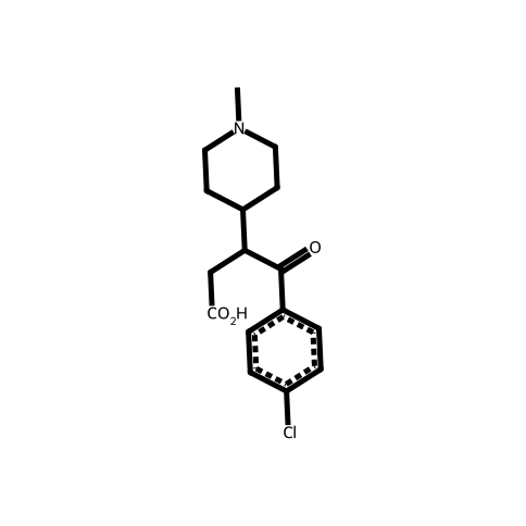 CN1CCC(C(CC(=O)O)C(=O)c2ccc(Cl)cc2)CC1